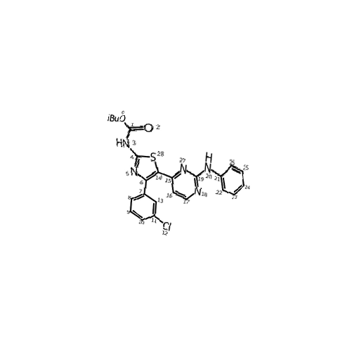 CC(C)COC(=O)Nc1nc(-c2cccc(Cl)c2)c(-c2ccnc(Nc3ccccc3)n2)s1